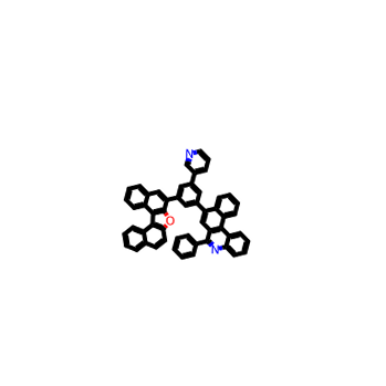 c1ccc(-c2nc3ccccc3c3c2cc(-c2cc(-c4cccnc4)cc(-c4cc5ccccc5c5c4oc4ccc6ccccc6c45)c2)c2ccccc23)cc1